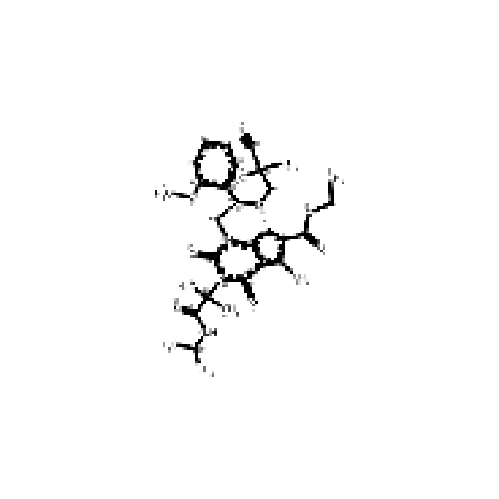 CCOC(=O)c1sc2c(c1C)c(=O)n(C(C)(C)C(=O)NC(C)C)c(=O)n2C[C@H](OCC(C)(C)C#N)c1ccccc1OC